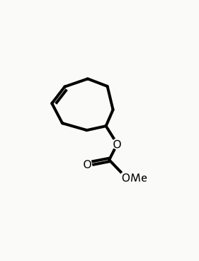 COC(=O)OC1CC/C=C\CCC1